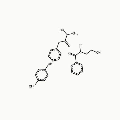 CC(O)C(=O)Cc1ccccc1.CCC(CCO)C(=O)c1ccccc1.O=Cc1ccc(O)cc1